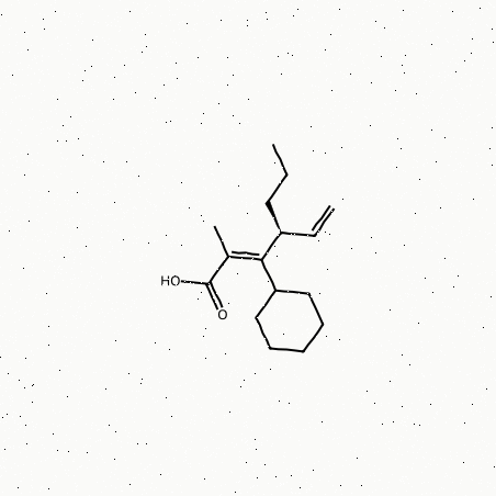 C=C[C@H](CCC)/C(=C(\C)C(=O)O)C1CCCCC1